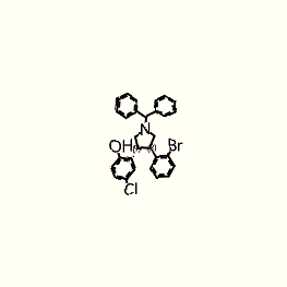 Oc1ccc(Cl)cc1[C@@H]1CN(C(c2ccccc2)c2ccccc2)C[C@H]1c1ccccc1Br